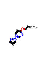 COCCOC1=NCN(n2cc[c]n2)C=C1